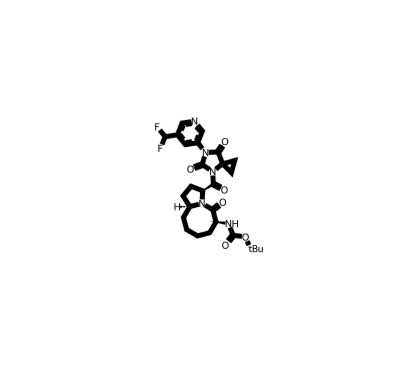 CC(C)(C)OC(=O)N[C@H]1CCCC[C@H]2CC[C@@H](C(=O)N3C(=O)N(c4cncc(C(F)F)c4)C(=O)C34CC4)N2C1=O